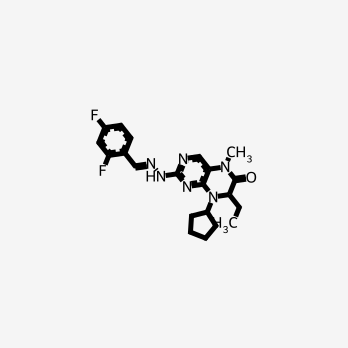 CCC1C(=O)N(C)c2cnc(NN=Cc3ccc(F)cc3F)nc2N1C1CCCC1